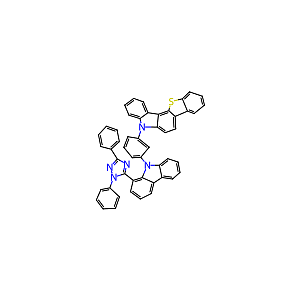 c1ccc(-c2nc(-c3cccc4c5ccccc5n(-c5cccc(-n6c7ccccc7c7c8sc9ccccc9c8ccc76)c5)c34)n(-c3ccccc3)n2)cc1